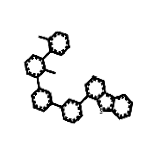 Cc1ccccc1-c1cccc(-c2cccc(-c3cccc(-c4cccc5c4sc4ccccc45)c3)c2)c1C